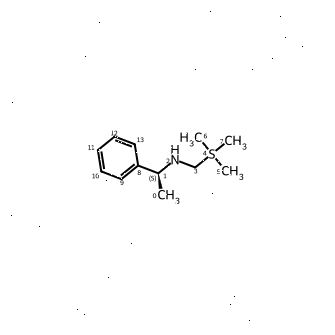 C[C@H](NCS(C)(C)C)c1ccccc1